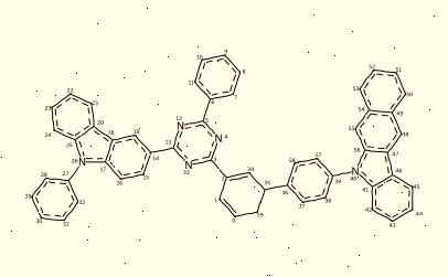 C1=CC(c2nc(-c3ccccc3)nc(-c3ccc4c(c3)c3ccccc3n4-c3ccccc3)n2)=CC(c2ccc(-n3c4ccccc4c4cc5ccccc5cc43)cc2)C1